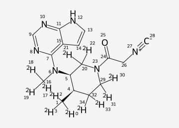 [2H]C([2H])([2H])[C@H]1[C@@H](N(c2ncnc3[nH]ccc23)C([2H])([2H])[2H])C([2H])([2H])N(C(=O)C[N+]#[C-])C([2H])([2H])C1([2H])[2H]